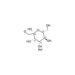 [Na+].[O-]C[C@@]1(O)O[C@H](CO)[C@@H](O)[C@H](O)[C@@H]1O